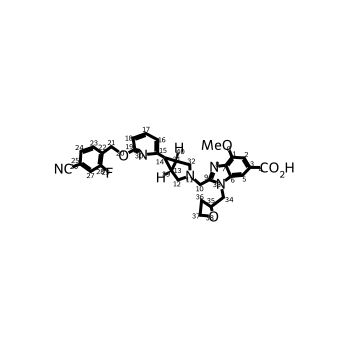 COc1cc(C(=O)O)cc2c1nc(CN1C[C@@H]3C(c4cccc(OCc5ccc(C#N)cc5F)n4)[C@@H]3C1)n2CC1CCO1